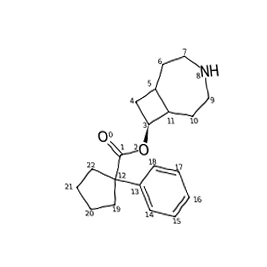 O=C(O[C@H]1CC2CCNCCC21)C1(c2ccccc2)CCCC1